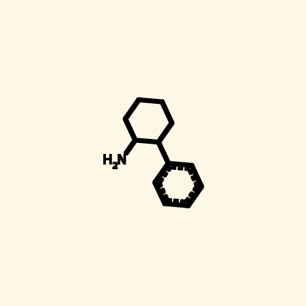 NC1CCCCC1c1ccccc1